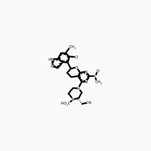 Cc1cc2[nH]ncc2c(C2CCc3c(nc([S+](C)[O-])nc3N3CCN(C(=O)O)[C@@H](CC#N)C3)O2)c1Cl